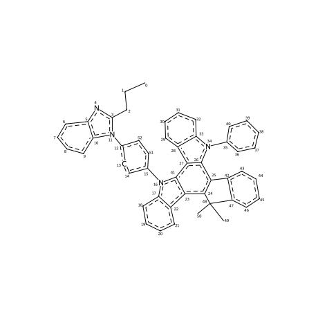 CCCc1nc2ccccc2n1-c1ccc(-n2c3ccccc3c3c4c(c5c(c6ccccc6n5-c5ccccc5)c32)-c2ccccc2C4(C)C)cc1